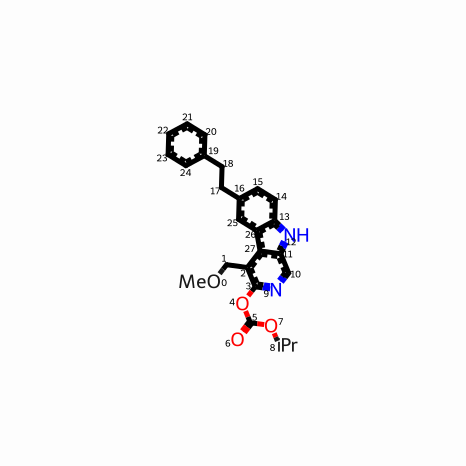 COCc1c(OC(=O)OC(C)C)ncc2[nH]c3ccc(CCc4ccccc4)cc3c12